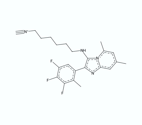 C#[N+]CCCCCCNc1c(-c2cc(F)c(F)c(F)c2C)nc2cc(C)cc(C)n12